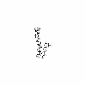 CO.O=C1C=CC(=O)N1OCCOCCOCCO